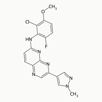 COc1ccc(F)c(Nc2ccc3ncc(-c4cnn(C)c4)nc3n2)c1Cl